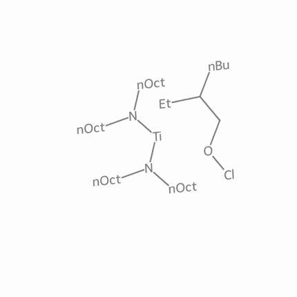 CCCCC(CC)COCl.CCCCCCCC[N](CCCCCCCC)[Ti][N](CCCCCCCC)CCCCCCCC